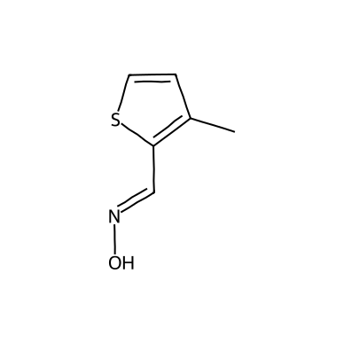 Cc1ccsc1C=NO